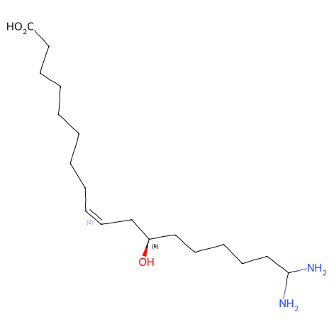 NC(N)CCCCC[C@@H](O)C/C=C\CCCCCCCC(=O)O